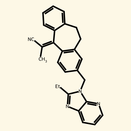 CCc1nc2cccnc2n1Cc1ccc2c(c1)CCc1ccccc1C2=C(C)C#N